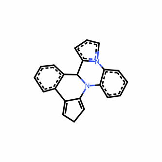 C1=C2C(=CC1)N1c3ccccc3-n3cccc3C1c1ccccc12